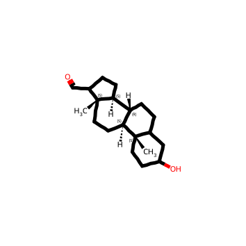 C[C@]12CCC(O)CC1CC[C@@H]1[C@@H]2CC[C@]2(C)C(C=O)CC[C@@H]12